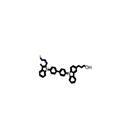 Cc1c(/C=C\CI)n(-c2ccc(-c3ccc(-n4c5ccccc5c5cc(CCCO)ccc54)cc3)cc2)c2ccccc12